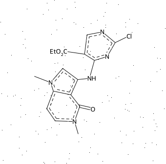 CCOC(=O)c1cnc(Cl)nc1Nc1cn(C)c2ccn(C)c(=O)c12